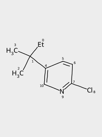 CCC(C)(C)c1ccc(Cl)nc1